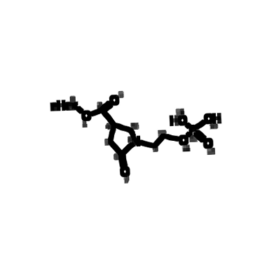 CCCCCCOC(=O)C1CC(=O)N(CCOP(=O)(O)O)C1